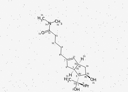 CCC[C@](C)(O)[C@@H]1[C@H]2CC(CCCCC(=O)N(C)C)=C[C@H]2C[C@H]1O